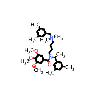 COc1cc(C(=O)N(CCCC[N+](C)(C)Cc2cc(C)cc(C)c2)C(C)c2cc(C)cc(C)c2)cc(OC)c1OC